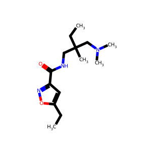 CCc1cc(C(=O)NCC(C)(CC)CN(C)C)no1